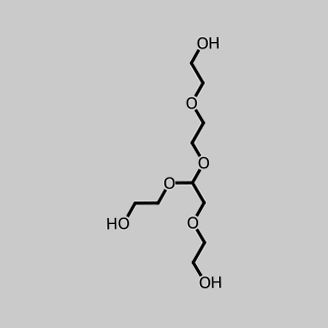 OCCOCCOC(COCCO)OCCO